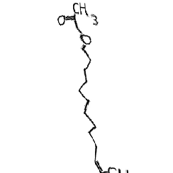 C/C=C\CCCCCCCCCCOC(C)=O